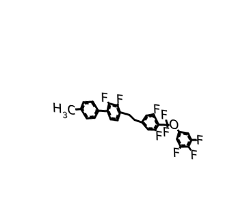 Cc1ccc(-c2ccc(CCc3cc(F)c(C(F)(F)Oc4cc(F)c(F)c(F)c4)c(F)c3)c(F)c2F)cc1